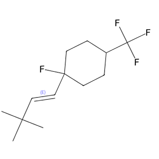 CC(C)(C)/C=C/C1(F)CCC(C(F)(F)F)CC1